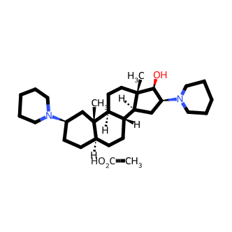 CC(=O)O.C[C@]12C[C@H](N3CCCCC3)CC[C@@H]1CC[C@@H]1[C@@H]2CC[C@]2(C)[C@@H](O)[C@@H](N3CCCCC3)C[C@@H]12